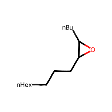 CCCCCCCCCC1OC1CCCC